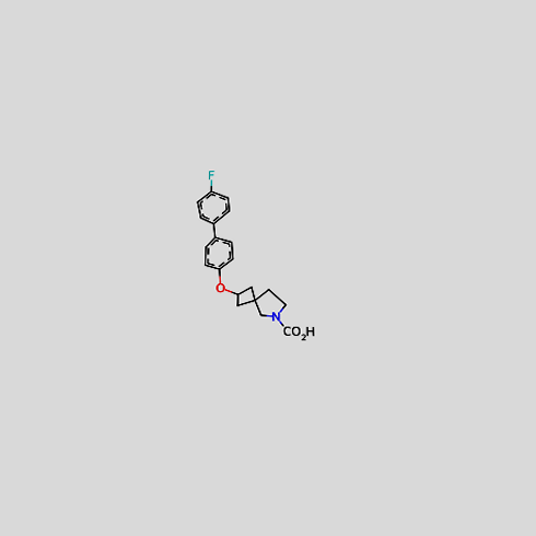 O=C(O)N1CCC2(CC(Oc3ccc(-c4ccc(F)cc4)cc3)C2)C1